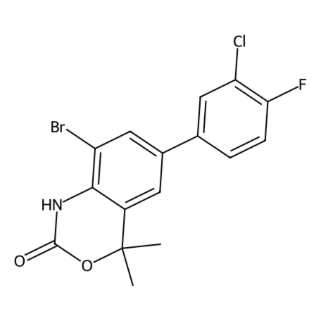 CC1(C)OC(=O)Nc2c(Br)cc(-c3ccc(F)c(Cl)c3)cc21